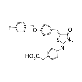 CN1C(=O)C(=Cc2ccc(OCc3ccc(F)cc3)cc2)SC1=Nc1ccc(CC(=O)O)cc1